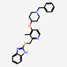 Cc1c(OC2CCN(Cc3ccccc3)CC2)ccnc1CSc1nc2ccccc2[nH]1